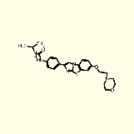 CC(C)NC(=O)Nc1ccc(-c2cn3c(n2)sc2cc(OCCN4CCOCC4)ccc23)cc1